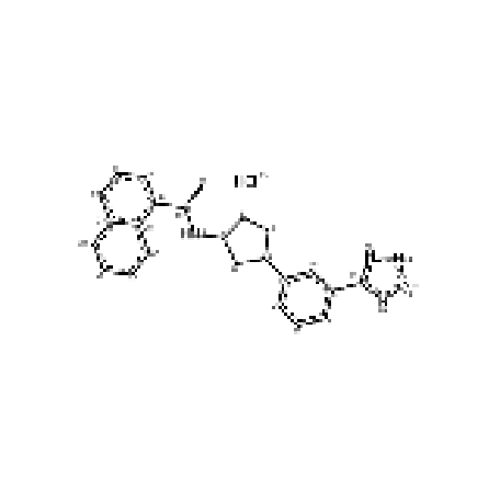 C[C@@H](NC1CCC(c2cccc(-c3nn[nH]n3)c2)C1)c1cccc2ccccc12.Cl